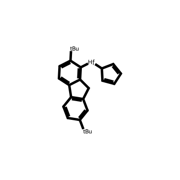 CC(C)(C)c1ccc2c(c1)Cc1c-2ccc(C(C)(C)C)[c]1[Hf][CH]1C=CC=C1